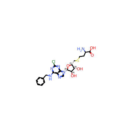 NC(CCSC[C@H]1O[C@@H](n2cnc3c(NCc4ccccc4)nc(Cl)nc32)[C@H](O)[C@H]1O)C(=O)O